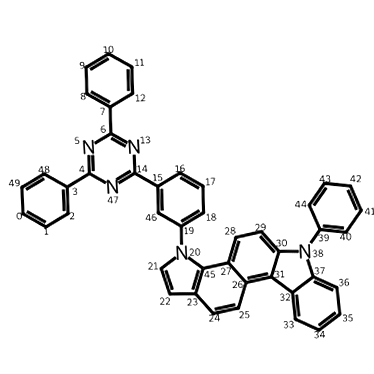 c1ccc(-c2nc(-c3ccccc3)nc(-c3cccc(-n4ccc5ccc6c(ccc7c6c6ccccc6n7-c6ccccc6)c54)c3)n2)cc1